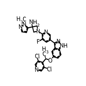 C[C@@H](Oc1ccc2[nH]nc(-c3cnc(N4CC(N)(c5ccnn5C)C4)c(F)c3)c2c1)c1c(Cl)cncc1Cl